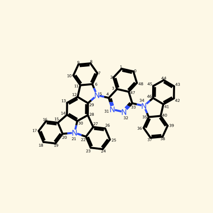 c1ccc2c(-n3c4ccccc4c4cc5c6ccccc6n6c7ccccc7c(c43)c56)nnc(-n3c4ccccc4c4ccccc43)c2c1